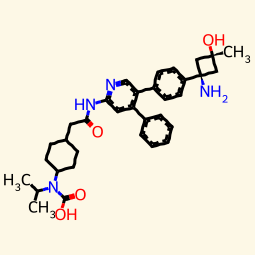 CC(C)N(C(=O)O)C1CCC(CC(=O)Nc2cc(-c3ccccc3)c(-c3ccc([C@]4(N)C[C@](C)(O)C4)cc3)cn2)CC1